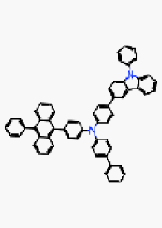 c1ccc(-c2ccc(N(c3ccc(-c4ccc5c(c4)c4ccccc4n5-c4ccccc4)cc3)c3ccc(-c4c5ccccc5c(-c5ccccc5)c5ccccc45)cc3)cc2)cc1